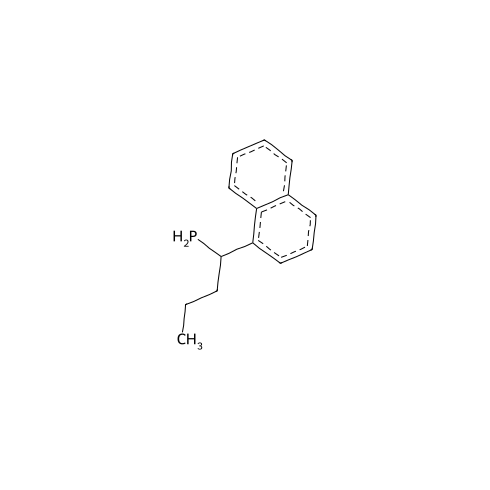 CCCC(P)c1cccc2ccccc12